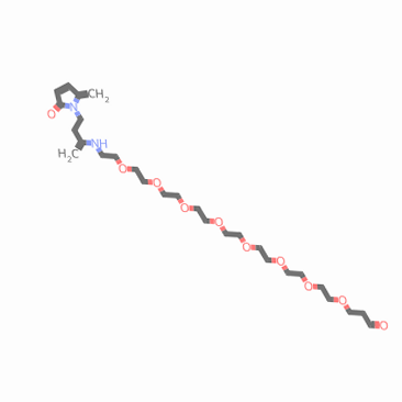 C=C(CCN1C(=C)C=CC1=O)NCCOCCOCCOCCOCCOCCOCCOCCOCCC=O